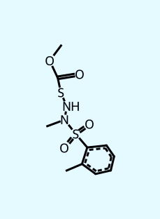 COC(=O)SNN(C)S(=O)(=O)c1ccccc1C